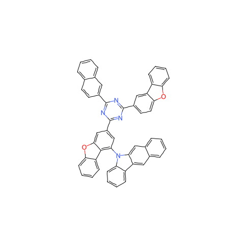 c1ccc2cc(-c3nc(-c4cc(-n5c6ccccc6c6cc7ccccc7cc65)c5c(c4)oc4ccccc45)nc(-c4ccc5oc6ccccc6c5c4)n3)ccc2c1